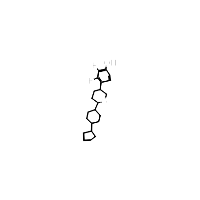 Oc1ccc(C2CCC(C3CCC(C4CCCC4)CC3)OC2)c(F)c1F